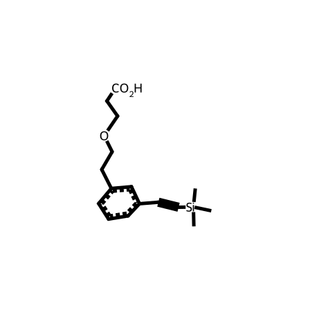 C[Si](C)(C)C#Cc1cccc(CCOCCC(=O)O)c1